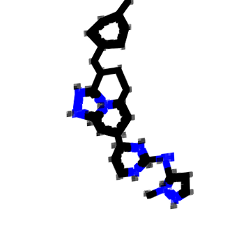 Cc1ccc(CC2CCc3cc(-c4ccnc(Nc5ccnn5C)n4)cc4nnc2n34)cc1